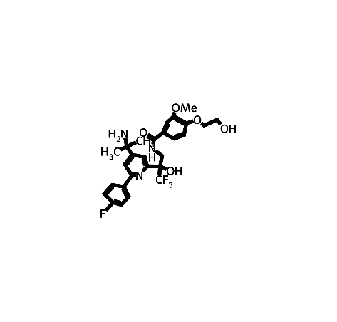 COc1cc(C(=O)NCC(O)(c2cc(C(C)(C)N)cc(-c3ccc(F)cc3)n2)C(F)(F)F)ccc1OCCO